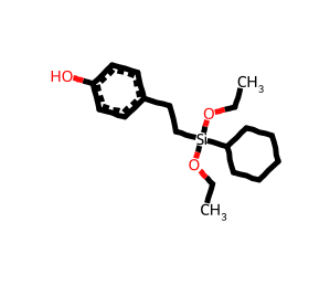 CCO[Si](CCc1ccc(O)cc1)(OCC)C1CCCCC1